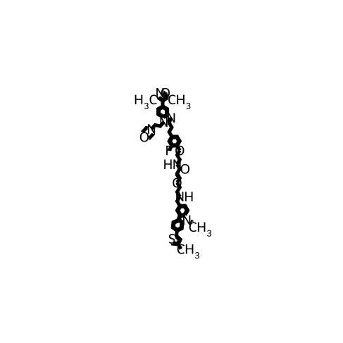 CCn1c2ccc(CNCCOC=CC(=O)NCCOc3ccc(CCc4nc5cc(-c6c(C)noc6C)ccc5n4CCN4CCOCC4)cc3F)cc2c2ccc(-c3cc(C)cs3)cc21